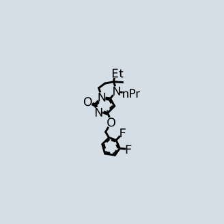 CCCN1c2cc(OCc3cccc(F)c3F)nc(=O)n2CCC1(C)CC